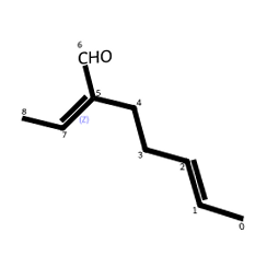 CC=CCC/C(C=O)=C/C